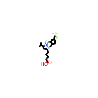 CC(C)c1cc(CC/C=C/C(=O)O)n(Cc2ccc(C(F)(F)F)cc2Cl)n1